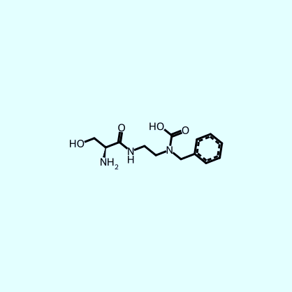 N[C@@H](CO)C(=O)NCCN(Cc1ccccc1)C(=O)O